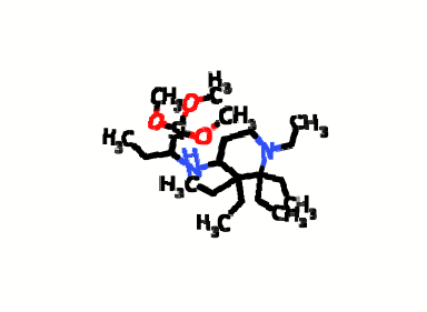 CCC(NC1CCN(CC)C(CC)(CC)C1(CC)CC)[Si](OC)(OC)OC